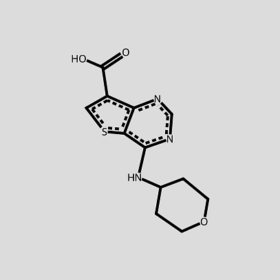 O=C(O)c1csc2c(NC3CCOCC3)ncnc12